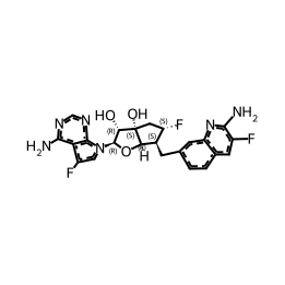 Nc1nc2cc(C[C@H]3[C@H]4O[C@@H](n5cc(F)c6c(N)ncnc65)[C@H](O)[C@@]4(O)C[C@@H]3F)ccc2cc1F